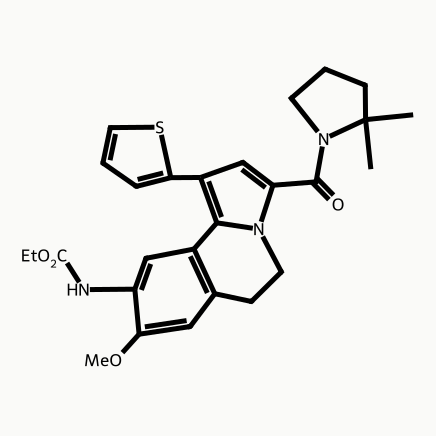 CCOC(=O)Nc1cc2c(cc1OC)CCn1c(C(=O)N3CCCC3(C)C)cc(-c3cccs3)c1-2